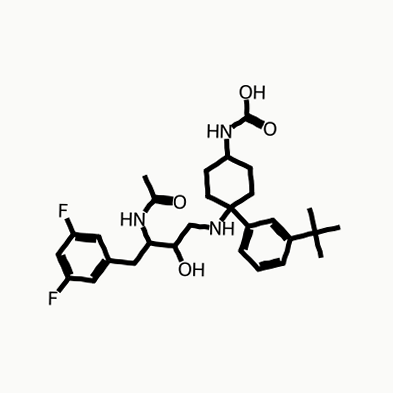 CC(=O)NC(Cc1cc(F)cc(F)c1)C(O)CNC1(c2cccc(C(C)(C)C)c2)CCC(NC(=O)O)CC1